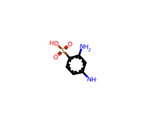 [NH]c1ccc(S(=O)(=O)O)c(N)c1